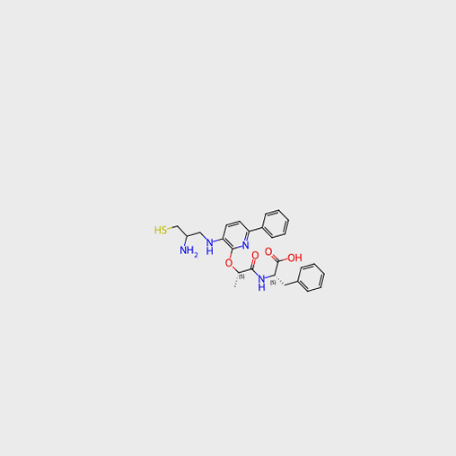 C[C@H](Oc1nc(-c2ccccc2)ccc1NCC(N)CS)C(=O)N[C@@H](Cc1ccccc1)C(=O)O